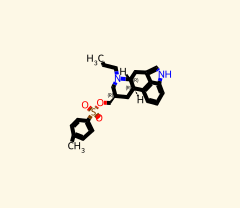 CCCN1C[C@H](COS(=O)(=O)c2ccc(C)cc2)C[C@@H]2c3cccc4[nH]cc(c34)C[C@H]21